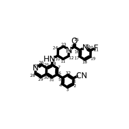 N#Cc1cccc(-c2cc(NC3CCN(C(=O)c4cccc(F)n4)CC3)c3cnccc3c2)c1